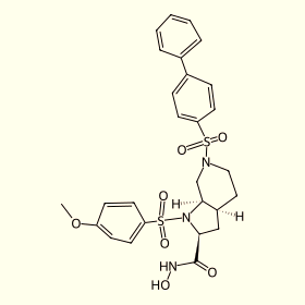 COc1ccc(S(=O)(=O)N2[C@H](C(=O)NO)C[C@@H]3CCN(S(=O)(=O)c4ccc(-c5ccccc5)cc4)C[C@@H]32)cc1